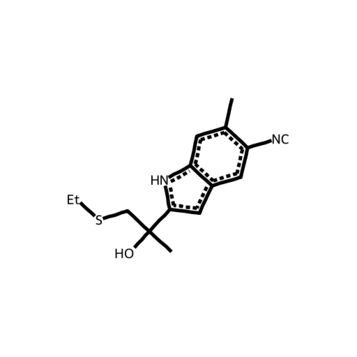 [C-]#[N+]c1cc2cc(C(C)(O)CSCC)[nH]c2cc1C